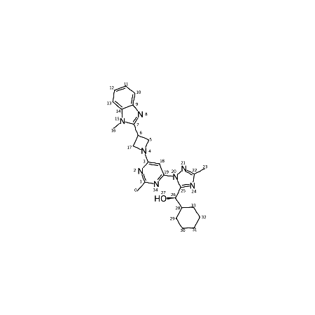 Cc1nc(N2CC(c3nc4ccccc4n3C)C2)cc(-n2nc(C)nc2[C@H](O)C2CCCCC2)n1